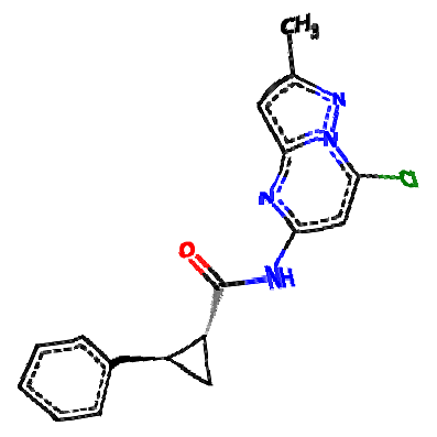 Cc1cc2nc(NC(=O)[C@@H]3C[C@H]3c3ccccc3)cc(Cl)n2n1